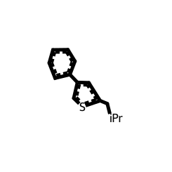 CC(C)Cc1cc(-c2ccccc2)cs1